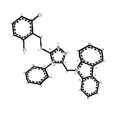 Clc1cccc(Cl)c1CSc1nnc(Cn2c3ccccc3c3ccccc32)n1-c1ccccc1